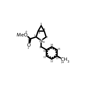 COC(=O)C1C2CC2CN1Cc1ccc(C)cc1